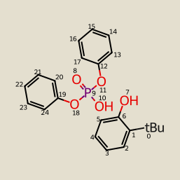 CC(C)(C)c1ccccc1O.O=P(O)(Oc1ccccc1)Oc1ccccc1